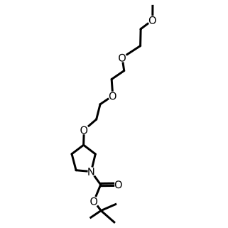 COCCOCCOCCOC1CCN(C(=O)OC(C)(C)C)C1